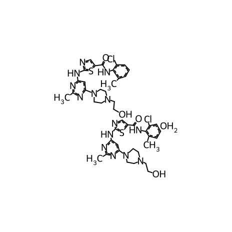 Cc1nc(Nc2ncc(C(=O)Nc3c(C)cccc3Cl)s2)cc(N2CCN(CCO)CC2)n1.Cc1nc(Nc2ncc(C(=O)Nc3c(C)cccc3Cl)s2)cc(N2CCN(CCO)CC2)n1.O